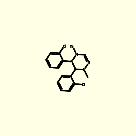 CCN1C=NN(C)C(c2ccccc2Cl)N1c1ccccc1Cl